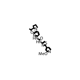 COc1cc(-c2nc(NC(=O)Nc3cccc(OC(C)C4CCCN4)n3)cs2)ccn1